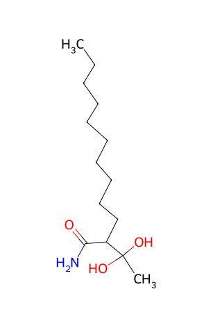 CCCCCCCCCCC(C(N)=O)C(C)(O)O